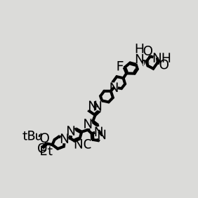 CCC1(C(=O)OC(C)(C)C)CCN(c2ccc(-c3nc(-c4cnn(C5CCC(N6CCC(c7ccc(N[C@@H]8CCC(=O)NC8=O)cc7F)CC6)CC5)c4)cn4ncc(C#N)c34)cn2)CC1